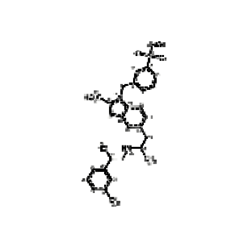 CNS(=O)(=O)c1cccc(Cn2c(C(=O)O)cc3cc(CC(C)NCC(O)c4cccc(C(F)(F)F)c4)ccc32)c1